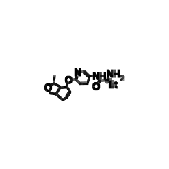 CC[C@@H](N)C(=O)Nc1ccc(OC2=C3C(=COC3C)CC=C2)nc1